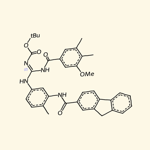 COc1cc(C(=O)N/C(=N\C(=O)OC(C)(C)C)Nc2ccc(C)c(NC(=O)c3ccc4c(c3)Cc3ccccc3-4)c2)cc(C)c1C